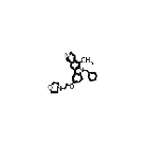 Cc1c2ccncc2cc2c3cc(OCCN4CCOCC4)ccc3n(Cc3ccccc3)c12